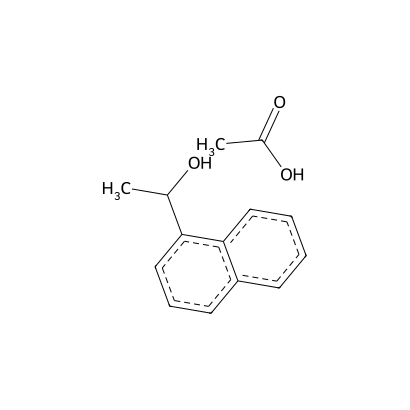 CC(=O)O.CC(O)c1cccc2ccccc12